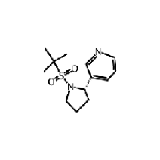 CC(C)(C)S(=O)(=O)N1CCC[C@H]1c1cccnc1